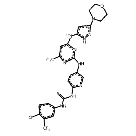 Cc1cc(Nc2cc(N3CCOCC3)n[nH]2)nc(Nc2ccc(NC(=S)Nc3ccc(Cl)c(C(F)(F)F)c3)nc2)n1